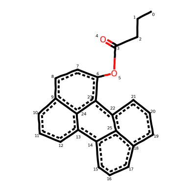 CCCC(=O)Oc1ccc2cccc3c4cccc5cccc(c1c23)c54